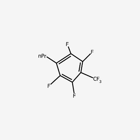 CCCc1c(F)c(F)c(C(F)(F)F)c(F)c1F